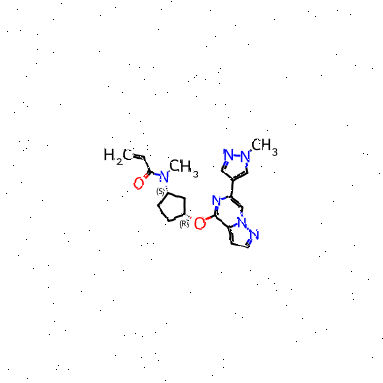 C=CC(=O)N(C)[C@H]1CC[C@@H](Oc2nc(-c3cnn(C)c3)cn3nccc23)C1